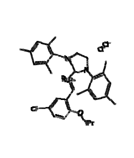 Cc1cc(C)c(N2CCN(c3c(C)cc(C)cc3C)[CH]2/[Ru+2]=[CH]/c2cc(Cl)ccc2OC(C)C)c(C)c1.[Cl-].[Cl-]